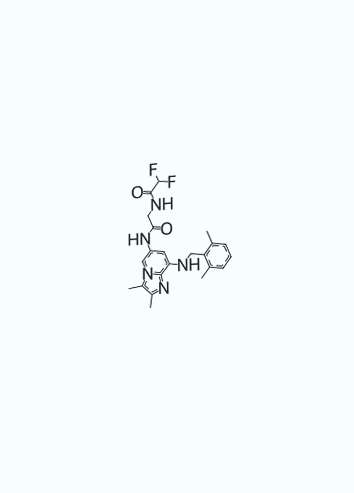 Cc1cccc(C)c1CNc1cc(NC(=O)CNC(=O)C(F)F)cn2c(C)c(C)nc12